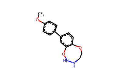 FC(F)(F)Oc1ccc(-c2ccc3c(c2)ONNCCO3)cc1